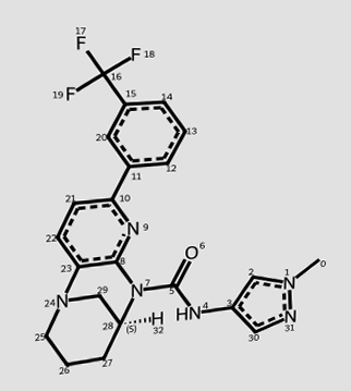 Cn1cc(NC(=O)N2c3nc(-c4cccc(C(F)(F)F)c4)ccc3N3CCC[C@H]2C3)cn1